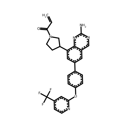 C=CC(=O)N1CCC(c2cc(-c3ccc(Oc4cc(C(F)(F)F)ccn4)cc3)cc3cnc(N)nc23)C1